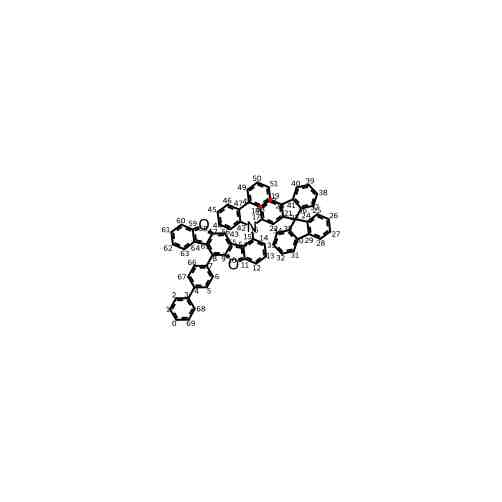 c1ccc(-c2ccc(-c3c4oc5cccc(N(c6ccc7c(c6)C6(c8ccccc8-c8ccccc86)c6ccccc6-7)c6ccccc6-c6ccccc6)c5c4cc4oc5ccccc5c34)cc2)cc1